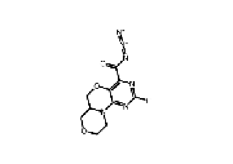 [N-]=[N+]=NC(=O)c1nc(Cl)nc2c1OCC1COCCN21